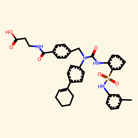 Cc1cccc(NS(=O)(=O)c2ccccc2NC(=O)N(Cc2ccc(C(=O)NCCC(=O)O)cc2)c2ccc(C3=CCCCC3)cc2)c1